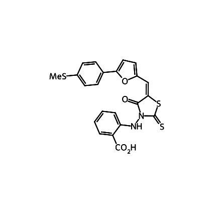 CSc1ccc(-c2ccc(C=C3SC(=S)N(Nc4ccccc4C(=O)O)C3=O)o2)cc1